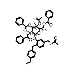 CCc1ccc(Cc2ccc(COC(C)=O)cc2O[C@@H]2O[C@H]([C@@H](C)OC(=O)c3ccccc3)[C@@](C)(OC(C)=O)[C@H](OC(=O)c3ccccc3)[C@H]2OC(=O)c2ccccc2)cc1